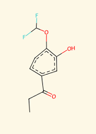 CCC(=O)c1ccc(OC(F)F)c(O)c1